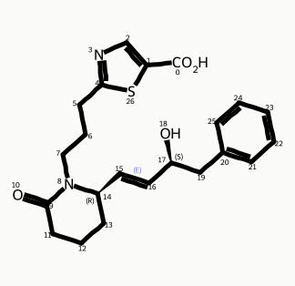 O=C(O)c1cnc(CCCN2C(=O)CCC[C@@H]2/C=C/[C@@H](O)Cc2ccccc2)s1